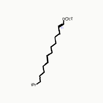 CCCCCCCC/C=C/CCCCCCCCCCCC(C)C